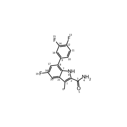 Cc1c(C(N)=O)[nH]c2c(-c3ccc(F)c(F)c3)cc(F)cc12